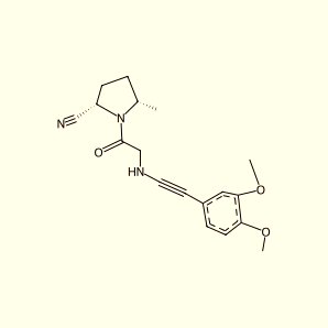 COc1ccc(C#CNCC(=O)N2[C@H](C#N)CC[C@@H]2C)cc1OC